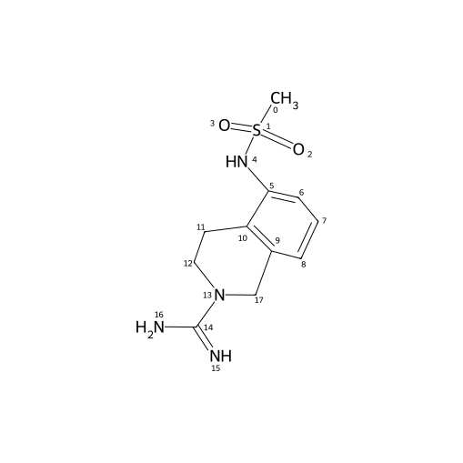 CS(=O)(=O)Nc1cccc2c1CCN(C(=N)N)C2